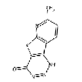 Cc1ccc2c(n1)sc1c(=O)nn[nH]c12